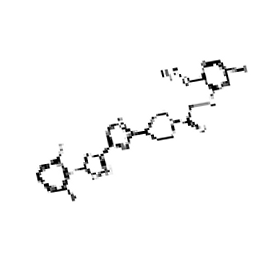 COc1ncc(I)cc1OCC(=O)N1CCC(c2nc(C3=NOC(c4c(F)cccc4F)C3)cs2)CC1